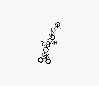 CCOC(=O)C1(CCNc2ccc(N3CC[C@@H](N4CCC[C@@H]4C)C3)nc2C)CCC(O[Si](c2ccccc2)(c2ccccc2)C(C)(C)C)CC1